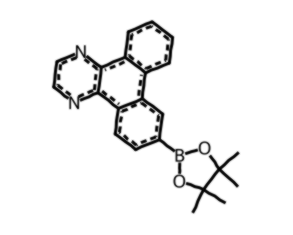 CC1(C)OB(c2ccc3c(c2)c2ccccc2c2nccnc32)OC1(C)C